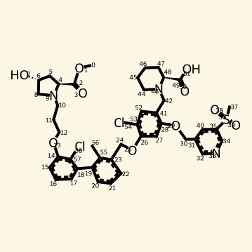 COC(=O)[C@@H]1C[C@@H](O)CN1CCCOc1cccc(-c2cccc(COc3cc(OCc4cncc(S(C)(=O)=O)c4)c(CN4CCCC[C@H]4C(=O)O)cc3Cl)c2C)c1Cl